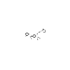 CC1(C)COC(=O)CN1CC=CC(=O)Nc1cc2c(Nc3ccc(F)c(Cl)c3)ncnc2cc1O[C@@H]1CCOC1